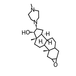 CN1CCN([C@H]2C[C@H]3[C@@H]4CCC5CC6OC6C[C@]5(C)[C@H]4CC[C@]3(C)[C@H]2O)CC1